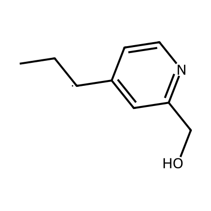 CC[CH]c1ccnc(CO)c1